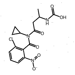 CC(CC(=O)N(C(=O)c1c(Cl)cccc1[N+](=O)[O-])C1CC1)NC(=O)O